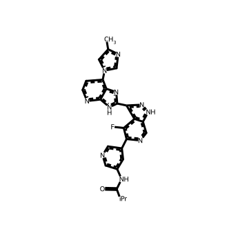 Cc1cn(-c2ccnc3[nH]c(-c4n[nH]c5cnc(-c6cncc(NC(=O)C(C)C)c6)c(F)c45)nc23)cn1